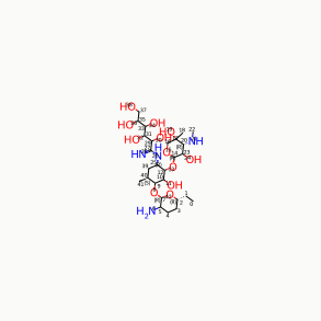 CC[C@@H]1CCC(N)[C@@H](OC2C(O)C(O[C@H]3OCC(C)(O)[C@H](NC)C3O)[C@H](NC(=N)C(O)C(O)C(O)C(O)CO)C[C@@H]2C)O1